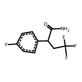 NC(=O)C(CC(F)(F)F)c1ccc(F)cc1